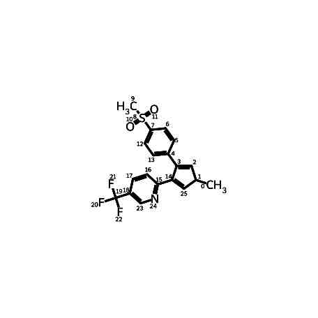 CC1C=C(c2ccc(S(C)(=O)=O)cc2)C(c2ccc(C(F)(F)F)cn2)=C1